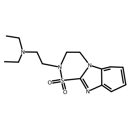 CCN(CC)CCN1CCn2c(nc3ccccc32)S1(=O)=O